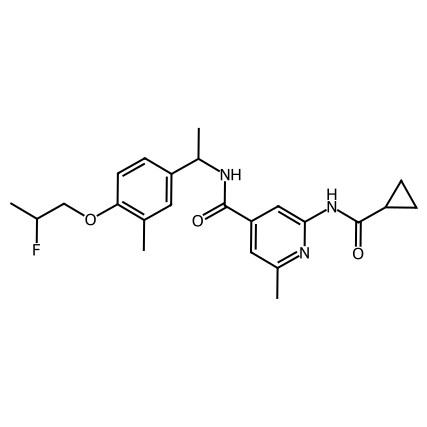 Cc1cc(C(=O)NC(C)c2ccc(OCC(C)F)c(C)c2)cc(NC(=O)C2CC2)n1